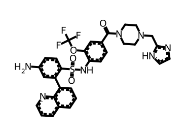 Nc1ccc(S(=O)(=O)Nc2ccc(C(=O)N3CCN(Cc4ncc[nH]4)CC3)cc2OC(F)(F)F)c(-c2cccc3cccnc23)c1